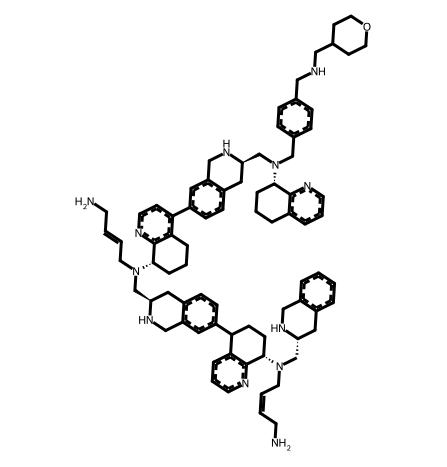 NC/C=C\CN(C[C@H]1Cc2ccccc2CN1)[C@H]1CCC(c2ccc3c(c2)CN[C@@H](CN(C/C=C/CN)[C@H]2CCCc4c(-c5ccc6c(c5)CN[C@@H](CN(Cc5ccc(CNCC7CCOCC7)cc5)[C@H]5CCCc7cccnc75)C6)ccnc42)C3)c2cccnc21